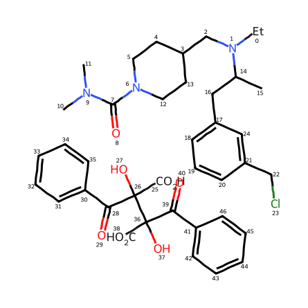 CCN(CC1CCN(C(=O)N(C)C)CC1)C(C)Cc1cccc(CCl)c1.O=C(O)C(O)(C(=O)c1ccccc1)C(O)(C(=O)O)C(=O)c1ccccc1